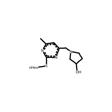 CCCCCCSc1nc(C)cc(CN2CCC(O)C2)n1